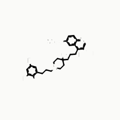 COc1ccc2ncc(C)c(CCCC3(C(=O)O)CCN(CCCc4cc(F)cc(F)c4F)CC3)c2c1